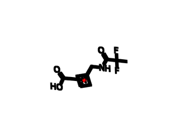 CC(F)(F)C(=O)NCC12CC(C1)N(C(=O)O)C2